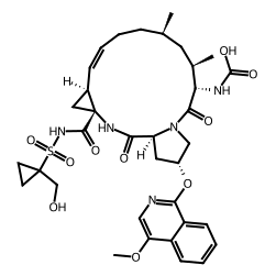 COc1cnc(O[C@@H]2C[C@H]3C(=O)N[C@]4(C(=O)NS(=O)(=O)C5(CO)CC5)C[C@H]4/C=C\CC[C@@H](C)C[C@@H](C)[C@H](NC(=O)O)C(=O)N3C2)c2ccccc12